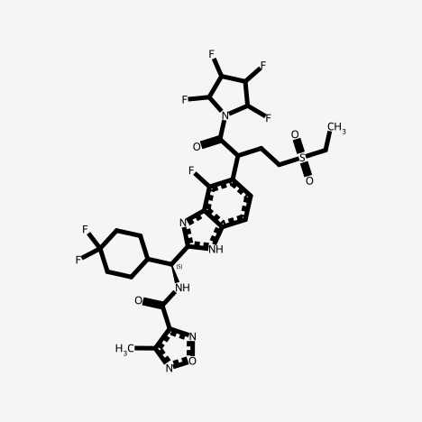 CCS(=O)(=O)CCC(C(=O)N1C(F)C(F)C(F)C1F)c1ccc2[nH]c([C@@H](NC(=O)c3nonc3C)C3CCC(F)(F)CC3)nc2c1F